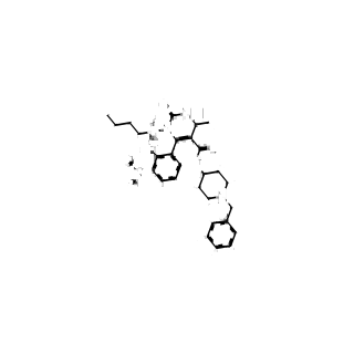 CCCCS(=O)(=O)N1C(=O)NC(C)C(C(=O)OC2CCN(Cc3ccccc3)CC2)=C1c1cccc([N+](=O)[O-])c1Cl